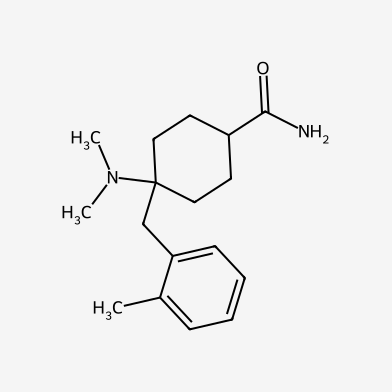 Cc1ccccc1CC1(N(C)C)CCC(C(N)=O)CC1